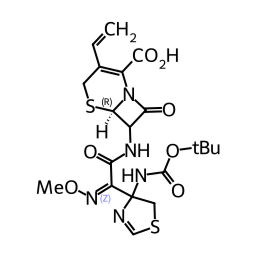 C=CC1=C(C(=O)O)N2C(=O)C(NC(=O)/C(=N\OC)C3(NC(=O)OC(C)(C)C)CSC=N3)[C@H]2SC1